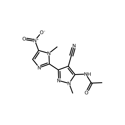 CC(=O)Nc1c(C#N)c(-c2ncc([N+](=O)[O-])n2C)nn1C